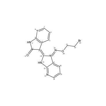 O=C1N[C]2=C(C=C[CH]=[Y]2)/C1=C1/Nc2ncccc2/C1=N\OCCBr